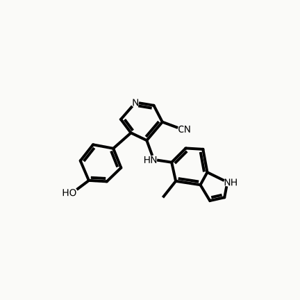 Cc1c(Nc2c(C#N)cncc2-c2ccc(O)cc2)ccc2[nH]ccc12